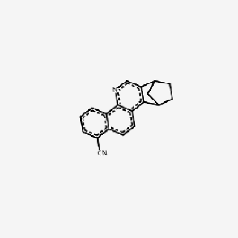 N#Cc1cccc2c1ccc1c3c(cnc12)C1CCC3C1